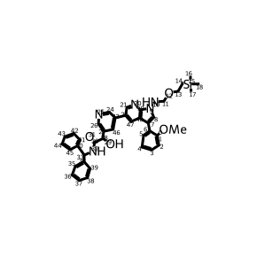 COc1ccccc1-c1cn(NCOCC[Si](C)(C)C)c2ncc(-c3cncc(C(O)C(=O)NC(c4ccccc4)c4ccccc4)c3)cc12